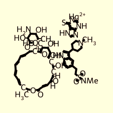 CNS(=O)(=O)CCc1ccc2[nH]cc(C3CCN(C)CC3)c2c1.C[C@@H]1C/C=C/C=C/C=C/C=C/[C@H](O[C@@H]2O[C@H](C)[C@@H](O)[C@H](N)[C@@H]2O)C[C@@H]2O[C@](O)(C[C@@H](O)C[C@H]3O[C@@H]3/C=C/C(=O)O1)C[C@H](O)[C@H]2C(=O)O.S=c1nc[nH]c2nc[nH]c12.[Hg+2]